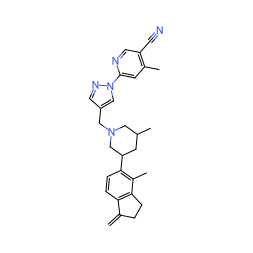 C=C1CCc2c1ccc(C1CC(C)CN(Cc3cnn(-c4cc(C)c(C#N)cn4)c3)C1)c2C